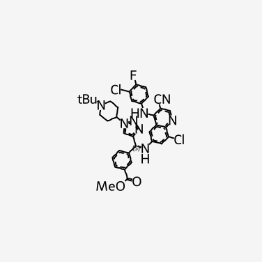 COC(=O)c1cccc([C@H](Nc2cc(Cl)c3ncc(C#N)c(Nc4ccc(F)c(Cl)c4)c3c2)c2cn(C3CCN(C(C)(C)C)CC3)nn2)c1